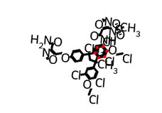 CC(CC(C)(c1ccc(OCc2ocnc2C(N)=O)cc1)c1cc(Cl)c(OCCCl)c(Cl)c1)(c1ccc(NC(=O)c2ocnc2NS(C)(=O)=O)cc1)c1cc(Cl)c(OCCCl)c(Cl)c1